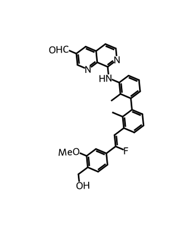 COc1cc(/C(F)=C/c2cccc(-c3cccc(Nc4nccc5cc(C=O)cnc45)c3C)c2C)ccc1CO